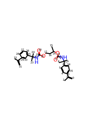 C=C(C)c1ccc(C(C)(C)NC(=O)OC(C)CCOC(=O)NC(C)(C)c2cccc(C(=C)C)c2)cc1